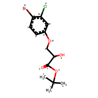 CC(C)(C)OC(=O)C(O)COc1ccc(Br)c(Cl)c1